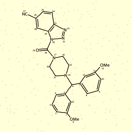 COc1cccc(C(c2cccc(OC)c2)N2CCN(C(=O)n3nnc4ccc(C#N)cc43)CC2)c1